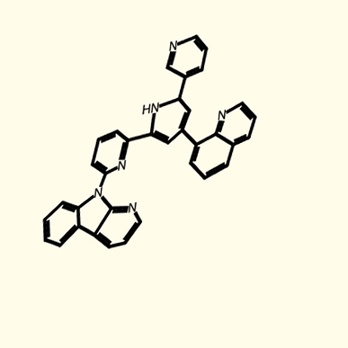 C1=C(c2cccc(-n3c4ccccc4c4cccnc43)n2)NC(c2cccnc2)C=C1c1cccc2cccnc12